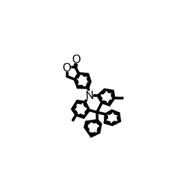 Cc1ccc2c(c1)C(c1ccccc1)(c1ccccc1)c1cc(C)ccc1N2c1ccc2c(c1)COC2=O